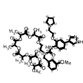 COc1cccc(CN(CCOC(=O)C(C)OC(=O)C(C)OC(=O)C(C)OC(=O)C(C)OC(=O)C(C)OC(=O)C(C)OC(C)=O)C(=O)Nc2ccc(-c3cn[nH]c3)cc2OCCN2CCCC2)c1